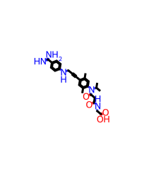 Cc1cc(N(C(=O)CC(=O)NCC(=O)O)C(C)C)c(C)cc1C#CCNc1ccc(C(=N)N)cc1